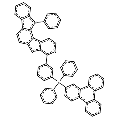 c1ccc(-n2c3ccccc3c3ccc4sc5c(-c6cccc([Si](c7ccccc7)(c7ccccc7)c7ccc8c9ccccc9c9ccccc9c8c7)c6)nccc5c4c32)cc1